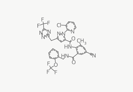 Cc1cc(C#N)cc(C(=O)NCc2ccccc2OC(F)(F)F)c1NC(=O)c1cc(Cn2nnc(C(F)(F)F)n2)nn1-c1ncccc1Cl